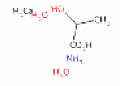 CC(O)C(=O)O.N.O.O.[CaH2]